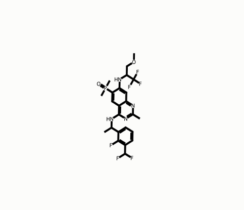 COCC(Nc1cc2nc(C)nc(NC(C)c3cccc(C(F)F)c3F)c2cc1P(C)(C)=O)C(F)(F)F